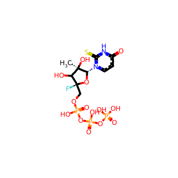 C[C@@]1(O)C(O)[C@@](F)(COP(=O)(O)OP(=O)(O)OP(=O)(O)O)O[C@H]1n1ccc(=O)[nH]c1=S